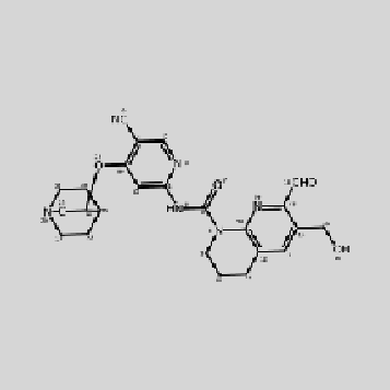 N#Cc1cnc(NC(=O)N2CCCc3cc(CO)c(C=O)nc32)cc1OC1CN2CCC1CC2